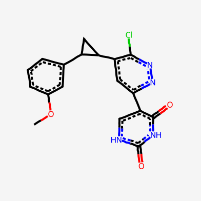 COc1cccc(C2CC2c2cc(-c3c[nH]c(=O)[nH]c3=O)nnc2Cl)c1